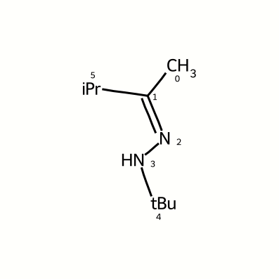 C/C(=N/NC(C)(C)C)C(C)C